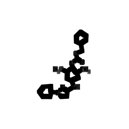 Cc1cc(Nc2ccn(-c3ccccc3)n2)cc(C)c1OC(=O)OCc1ccccc1